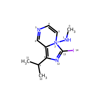 CN[N+]12C=CN=CC1=C(C(C)C)N=C2I